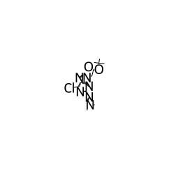 CN(C)/C=N/c1nc(Cl)c2ncn(CC(=O)OC(C)(C)C)c2n1